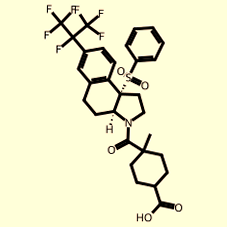 CC1(C(=O)N2CC[C@]3(S(=O)(=O)c4ccccc4)c4ccc(C(F)(C(F)(F)F)C(F)(F)F)cc4CC[C@H]23)CCC(C(=O)O)CC1